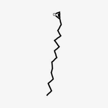 CCCCCCCCCCCCCCC1=CO1